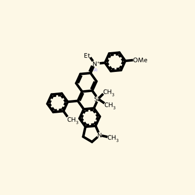 CC/[N+](=C1\C=CC2=C(c3ccccc3C)c3cc4c(cc3[Si](C)(C)C2=C1)N(C)CC4)c1ccc(OC)cc1